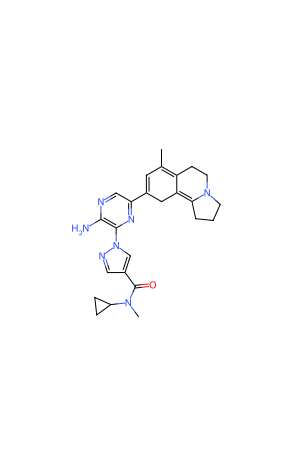 CC1=C2CCN3CCCC3=C2CC(c2cnc(N)c(-n3cc(C(=O)N(C)C4CC4)cn3)n2)=C1